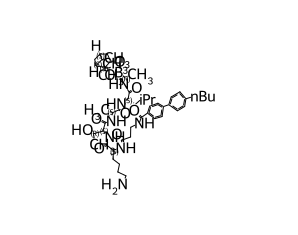 CCCCc1ccc(-c2ccc(C(=O)NCCC(=O)N[C@@H](CCCCN)C(=O)N[C@H](C(=O)N[C@@H](C)C(=O)N[C@@H](CC(C)C)C(=O)N[C@@H](C)B3OC4C[C@@H]5C[C@@H](C5(C)C)[C@]4(C)O3)[C@@H](C)O)cc2)cc1